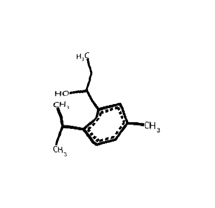 CCC(O)c1cc(C)ccc1C(C)C